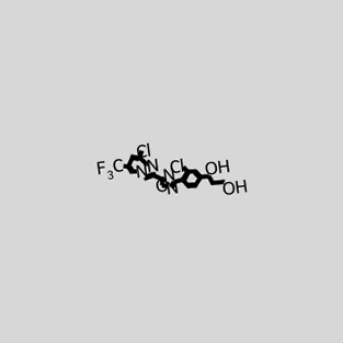 OCCC(O)c1ccc(-c2noc(-c3cn4cc(C(F)(F)F)cc(Cl)c4n3)n2)c(Cl)c1